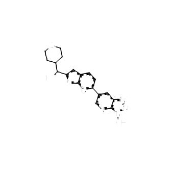 Cn1nnc2cc(-c3ccc4cc(C(O)C5CCOCC5)sc4n3)cnc21